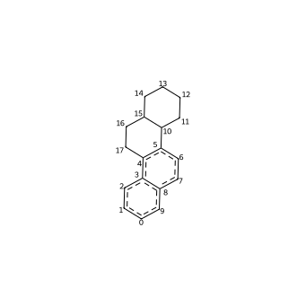 c1ccc2c3c(ccc2c1)C1CCCCC1CC3